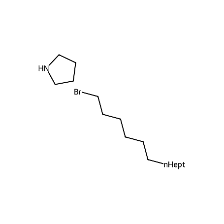 C1CCNC1.CCCCCCCCCCCCCBr